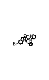 O=C(Nc1ccccn1)C(CC1CCCC1)N1C(=O)Cc2cc(Br)ccc21